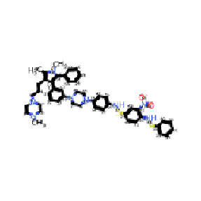 Cc1c(CCCN2CCN(C)CC2)c(-c2cccc(N3CCN(c4ccc(NSc5ccc(NSc6ccccc6)c([N+](=O)[O-])c5)cc4)CC3)c2)c(-c2ccccc2)n1C